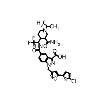 CC(C)N1CCC(C(NC(=O)c2ccc3c(c2)c(C(=O)O)nn3Cc2cc(-c3ccc(Cl)s3)on2)C(F)(F)F)C(C(N)=O)C1